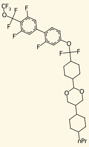 CCCC1CCC(C2COC(C3CCC(C(F)(F)Oc4ccc(-c5cc(F)c(C(F)(F)OC(F)(F)F)c(F)c5)c(F)c4)CC3)OC2)CC1